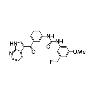 COc1cc(CF)cc(NC(=O)Nc2cccc(C(=O)c3c[nH]c4ncccc34)c2)c1